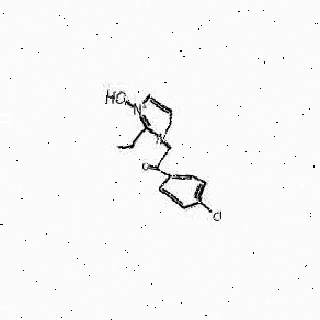 CCc1n(CC(=O)c2ccc(Cl)cc2)cc[n+]1O